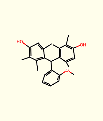 COc1ccccc1C(c1c(C)cc(O)c(C)c1C)c1c(C)cc(O)c(C)c1C